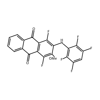 COc1c(F)c2c(c(F)c1Nc1c(F)c(F)cc(F)c1F)C(=O)c1ccccc1C2=O